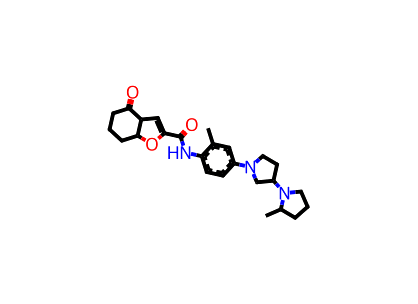 Cc1cc(N2CCC(N3CCCC3C)C2)ccc1NC(=O)C1=CC2C(=O)CCCC2O1